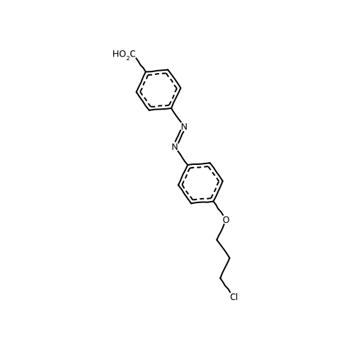 O=C(O)c1ccc(/N=N/c2ccc(OCCCCl)cc2)cc1